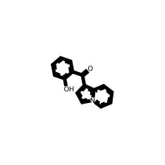 O=C(c1ccccc1O)c1c[c]n2ccccc12